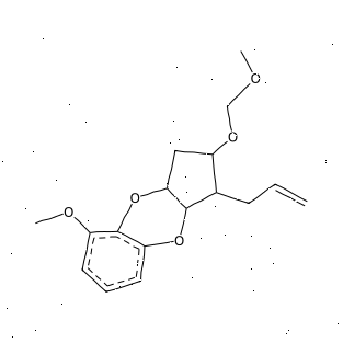 C=CCC1C(OCOC)CC2Oc3c(OC)cccc3OC21